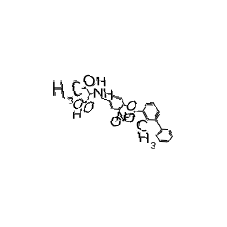 Cc1c(COc2ccc(CNC(C(=O)O)C(C)O)cc2[N+](=O)[O-])cccc1-c1ccccc1